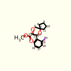 COC(=O)[C@@H]1OCC2(CCCC2)O[C@H]1c1ccccc1I